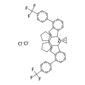 FC(F)(F)c1ccc(-c2cccc3c2C=C(C2CCCC2)[CH]3[Zr+2]2([CH]3C(C4CCCC4)=Cc4c(-c5ccc(C(F)(F)F)cc5)cccc43)[CH2][CH2]2)cc1.[Cl-].[Cl-]